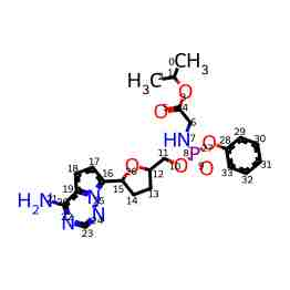 CC(C)OC(=O)CNP(=O)(OCC1CCC(c2ccc3c(N)ncnn23)O1)Oc1ccccc1